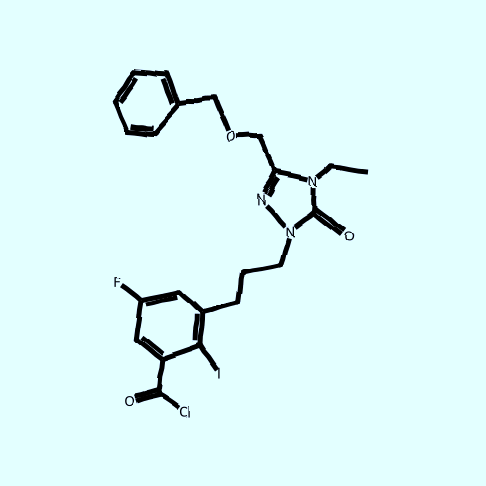 CCn1c(COCc2ccccc2)nn(CCCc2cc(F)cc(C(=O)Cl)c2I)c1=O